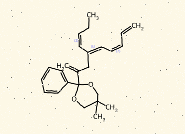 C=C\C=C/C=C(/C=C\CC)CC(=C)C1(c2ccccc2)OCC(C)(C)CO1